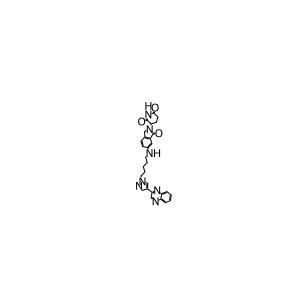 O=C1CCC(N2Cc3ccc(NCCCCCn4cc(-c5cnc6ccccc6n5)cn4)cc3C2=O)C(=O)N1